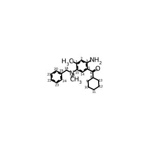 Cc1cc(N)c(C(=O)C2CCCCC2)cc1N(C)Cc1ccccc1